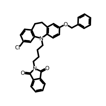 O=C1c2ccccc2C(=O)N1CCCCN1c2ccc(OCc3ccccc3)cc2CCc2ccc(Cl)cc21